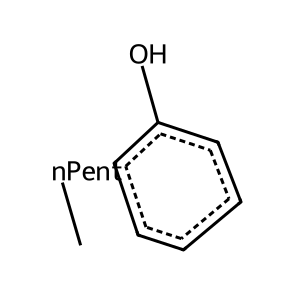 CCCCCC.Oc1ccccc1